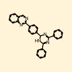 c1ccc(C2=NC(c3ccc(-c4ncc5ccccc5n4)cc3)NC(c3ccccc3)=N2)cc1